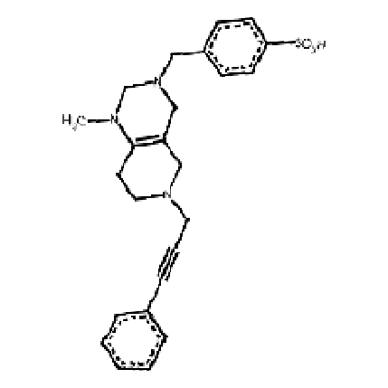 CN1CN(Cc2ccc(S(=O)(=O)O)cc2)CC2=C1CCN(CC#Cc1ccccc1)C2